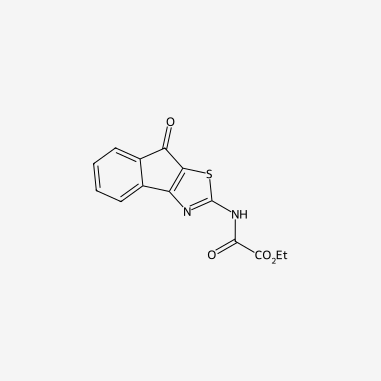 CCOC(=O)C(=O)Nc1nc2c(s1)C(=O)c1ccccc1-2